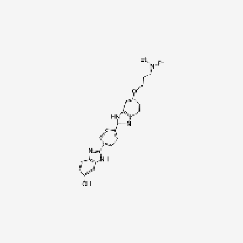 CCN(CC)CCCOc1ccc2nc(-c3ccc(-c4nc5ccc(O)cc5[nH]4)cc3)[nH]c2c1